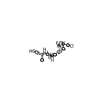 Cc1cc(S(=O)(=O)Nc2ccc(N3CCN(c4cccc(-c5c([S+]([O-])C(F)(F)F)c(C)n(C)c5-c5ccc(Cl)cc5)c4)CC3)cc2)ccc1N[C@H](CCN1CCC(O)CC1)CSc1ccccc1